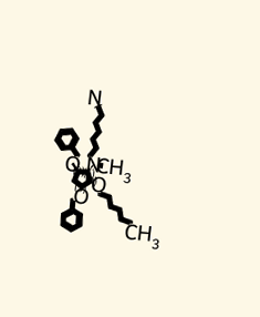 CCCCCCCO[C@@H]1[C@@H](N(C)CCCCCCC#N)[C@H](OCc2ccccc2)C[C@@H]1OCc1ccccc1